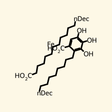 CCCCCCCCCCCCCCCCCCCCCC(=O)O.CCCCCCCCCCCCCCCCCCc1c(C(=O)O)cc(O)c(O)c1O.[Fe]